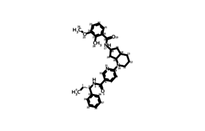 CC[C@H](NC(=O)c1ccc(N2CCCC3CC(NC(=O)c4cccc(OC)c4C)CC32)nc1)c1ccccc1